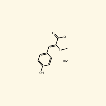 COC(=Cc1ccc(O)cc1)C(=O)[O-].[Rb+]